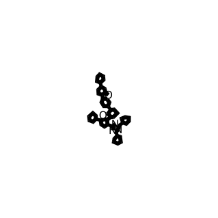 c1ccc(-c2ccc3c(c2)oc2cc(-c4cccc5c4oc4c(-c6ccccc6)ccc(-c6nc(-c7ccccc7)nc(-c7ccccc7)n6)c45)ccc23)cc1